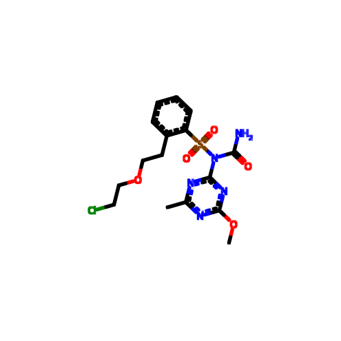 COc1nc(C)nc(N(C(N)=O)S(=O)(=O)c2ccccc2CCOCCCl)n1